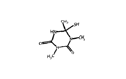 CN1C(=O)NC(C)(S)N(C)C1=O